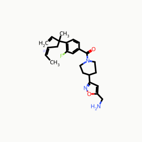 C=CC(C)(C/C=C\C)c1ccc(C(=O)N2CCC(c3cc(CN)on3)CC2)cc1F